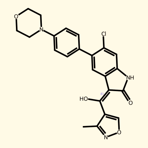 Cc1nocc1/C(O)=C1\C(=O)Nc2cc(Cl)c(-c3ccc(N4CCOCC4)cc3)cc21